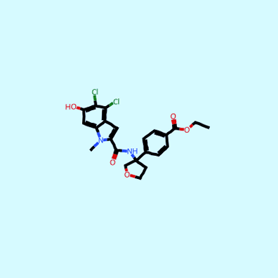 CCOC(=O)c1ccc(C2(NC(=O)c3cc4c(Cl)c(Cl)c(O)cc4n3C)CCOC2)cc1